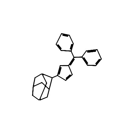 C1=CC(=C(c2ccccc2)c2ccccc2)C=C1C1C2CC3CC(C2)CC1C3